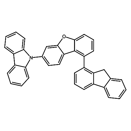 c1ccc2c(c1)Cc1c-2cccc1-c1cccc2oc3cc(-n4c5ccccc5c5ccccc54)ccc3c12